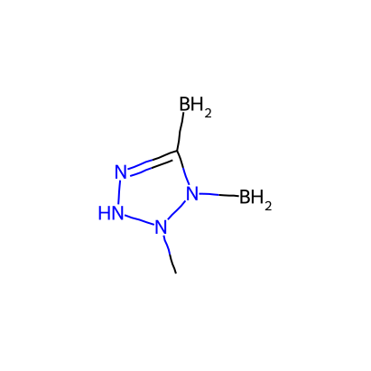 BC1=NNN(C)N1B